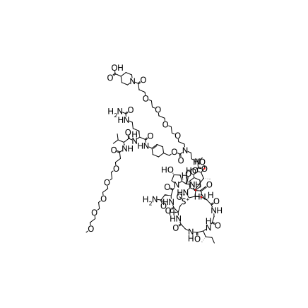 CC[C@H](C)[C@@H]1NC(=O)CNC(=O)[C@H]2CC3C4CCC(OC(=O)N(C)CCN(CCOCCOCCOCCOCCC(=O)N5CCC(C(=O)O)CC5)C(=O)OCC5CC=C(NC(=O)[C@H](CCCNC(N)=O)NC(=O)[C@@H](NC(=O)CCOCCOCCOCCOCCOC)C(C)C)CC5)CC4NC3[S+]([O-])C[C@H](NC(=O)CNC1=O)C(=O)N[C@@H](CC(N)=O)C(=O)N1C[C@H](O)C[C@H]1C(=O)N[C@@H]([C@@H](C)[C@@H](O)CO)C(=O)N2